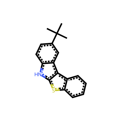 CC(C)(C)c1ccc2[nH]c3sc4ccccc4c3c2c1